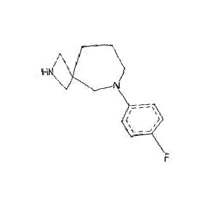 Fc1ccc(N2CCCC3(CNC3)C2)cc1